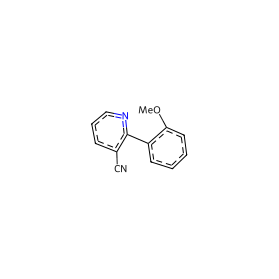 COc1ccccc1-c1ncccc1C#N